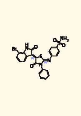 NS(=O)(=O)c1ccc(/N=C2\S/C(=C3\C(=O)Nc4c(Br)cccc43)C(=O)N2c2ccccc2)cc1